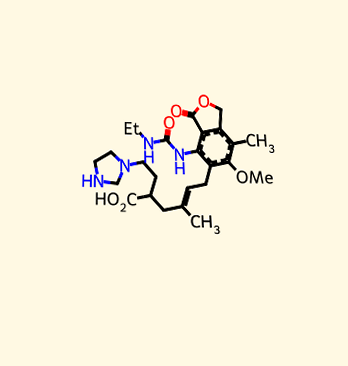 CCNC(=O)Nc1c(C/C=C(\C)CC(CCN2CCNC2)C(=O)O)c(OC)c(C)c2c1C(=O)OC2